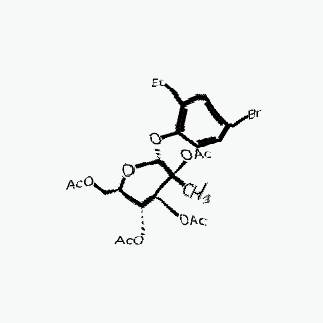 CCc1cc(Br)ccc1O[C@H]1O[C@H](COC(C)=O)[C@@H](OC(C)=O)[C@H](OC(C)=O)[C@]1(C)OC(C)=O